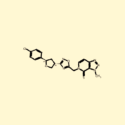 Cn1nnc2ccn(Cc3nc([C@@H]4CO[C@@H](c5ccc(Cl)cc5)C4)no3)c(=S)c21